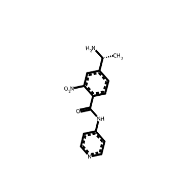 C[C@@H](N)c1ccc(C(=O)Nc2ccncc2)c([N+](=O)[O-])c1